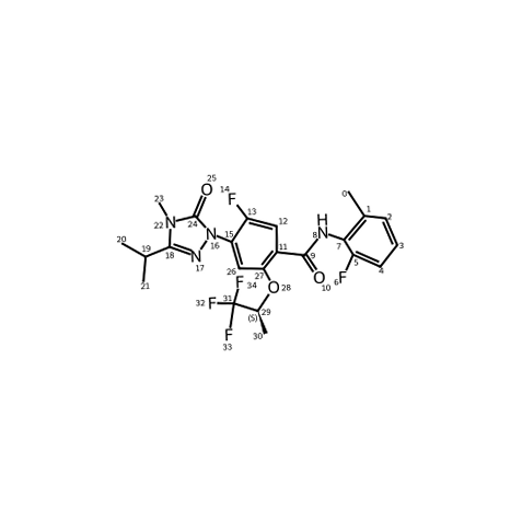 Cc1cccc(F)c1NC(=O)c1cc(F)c(-n2nc(C(C)C)n(C)c2=O)cc1O[C@@H](C)C(F)(F)F